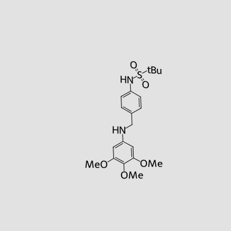 COc1cc(NCc2ccc(NS(=O)(=O)C(C)(C)C)cc2)cc(OC)c1OC